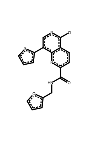 O=C(NCc1ccco1)c1ccc2c(Cl)ncc(-c3cccs3)c2n1